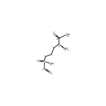 N[C@@H](CCCP(=O)(O)N=O)C(=O)O